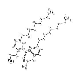 CCCCCCCCCc1ccc(CCO)c(C(=O)c2cc(CCCCCCCCC)ccc2CCO)c1